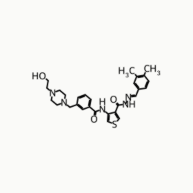 Cc1ccc(C=NNC(=O)c2cscc2NC(=O)c2cccc(CN3CCN(CCO)CC3)c2)cc1C